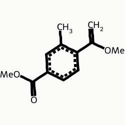 C=C(OC)c1ccc(C(=O)OC)cc1C